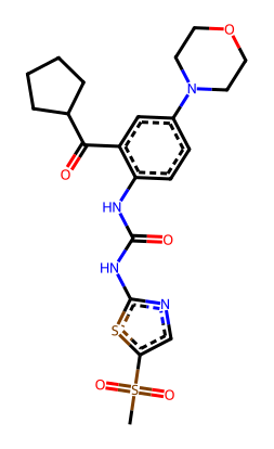 CS(=O)(=O)c1cnc(NC(=O)Nc2ccc(N3CCOCC3)cc2C(=O)C2CCCC2)s1